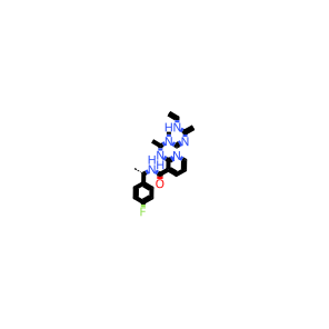 C=CNC(=C)/N=C\N(C)C(C)Nc1ncccc1C(=O)N[C@@H](C)c1ccc(F)cc1